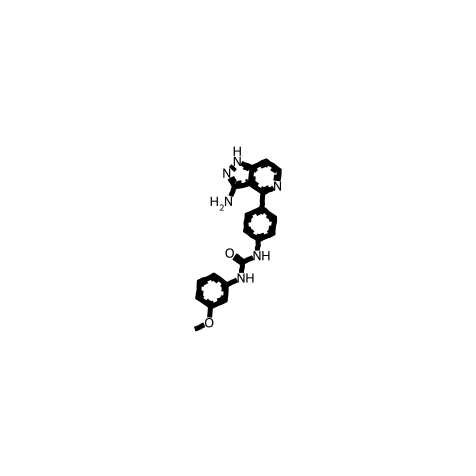 COc1cccc(NC(=O)Nc2ccc(-c3nccc4[nH]nc(N)c34)cc2)c1